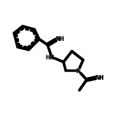 CC(=N)N1CCC(NC(=N)c2ccccc2)C1